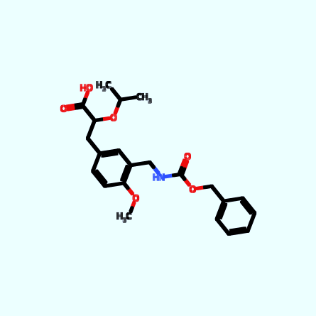 COc1ccc(CC(OC(C)C)C(=O)O)cc1CNC(=O)OCc1ccccc1